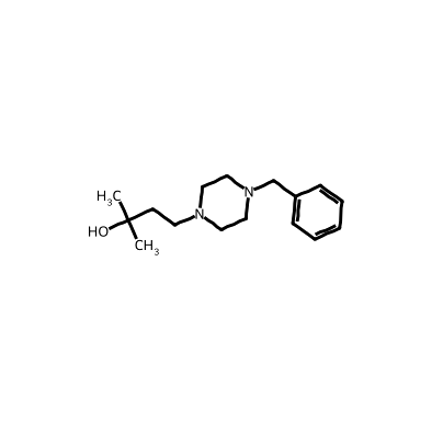 CC(C)(O)CCN1CCN(Cc2ccccc2)CC1